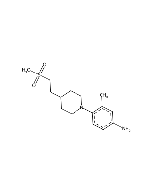 Cc1cc(N)ccc1N1CCC(CCS(C)(=O)=O)CC1